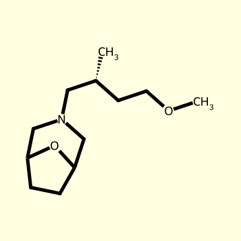 COCC[C@@H](C)CN1CC2CCC(C1)O2